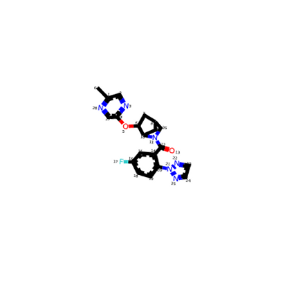 Cc1cnc(OC2CC3CC2N(C(=O)c2cc(F)ccc2-n2nccn2)C3)cn1